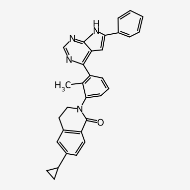 Cc1c(-c2ncnc3[nH]c(-c4ccccc4)cc23)cccc1N1CCc2cc(C3CC3)ccc2C1=O